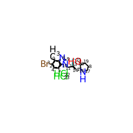 Cc1c(Br)ccc2c1ncn2C/C(F)=C/[C@H]1NCCC[C@@H]1O.Cl.Cl